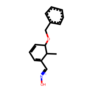 CC1C(/C=N/O)=CC=CC1OCc1ccccc1